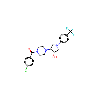 O=C(c1ccc(Cl)cc1)N1CCN(C2CN(c3ccc(C(F)(F)F)cc3)CC2O)CC1